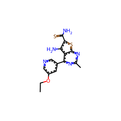 CCOc1cncc(-c2nc(C)nc3sc(C(N)=S)c(N)c23)c1